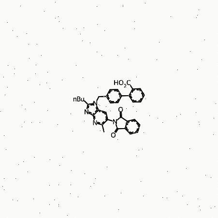 CCCCc1nc2nc(C)c(N3C(=O)c4ccccc4C3=O)cc2n1Cc1ccc(-c2ccccc2C(=O)O)cc1